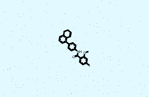 COc1cc(I)ccc1C(=O)Nc1ccc(-c2cccc3c2C=CCC3)cc1